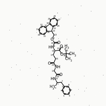 CC(Cc1ccccc1)NC(=O)CNC(=O)CCC(NC(=O)OCC1c2ccccc2-c2ccccc21)C(=O)OC(C)(C)C